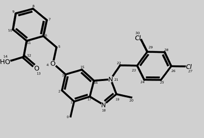 Cc1cc(OCc2ccccc2C(=O)O)cc2c1nc(C)n2Cc1ccc(Cl)cc1Cl